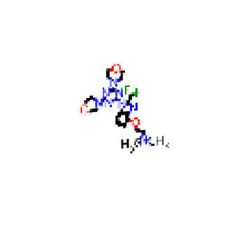 CN(C)CCOc1cccc2c1nc(C(F)F)n2-c1nc(N2CCOCC2)nc(N2CCOCC2)n1